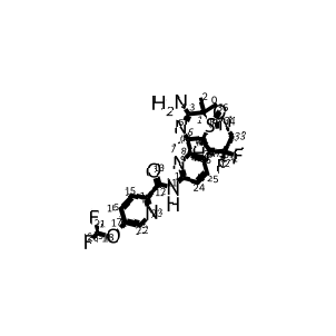 CC1(C)C(N)=N[C@](C)(c2nc(NC(=O)c3ccc(OC(F)F)cn3)ccc2F)[C@H]2CC(F)(F)CN=[S@@]21=O